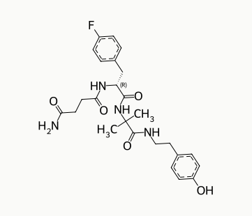 CC(C)(NC(=O)[C@@H](Cc1ccc(F)cc1)NC(=O)CCC(N)=O)C(=O)NCCc1ccc(O)cc1